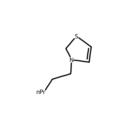 CCCCCN1C=CSC1